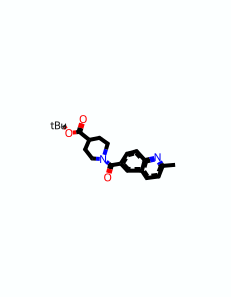 Cc1ccc2cc(C(=O)N3CCC(C(=O)OC(C)(C)C)CC3)ccc2n1